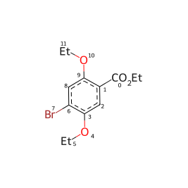 CCOC(=O)c1cc(OCC)c(Br)cc1OCC